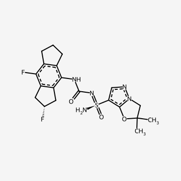 CC1(C)Cn2ncc([S@](N)(=O)=NC(=O)Nc3c4c(c(F)c5c3C[C@H](F)C5)CCC4)c2O1